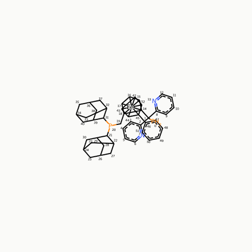 PC(c1ccccn1)(c1ccccn1)[C]12[CH]3[CH]4[CH]5[C]1(CP(C1C6CC7CC(C6)CC1C7)C1C6CC7CC(C6)CC1C7)[Fe]45321678[CH]2[CH]1[CH]6[C]7(c1ccccc1)[CH]28